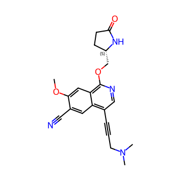 COc1cc2c(OC[C@@H]3CCC(=O)N3)ncc(C#CCN(C)C)c2cc1C#N